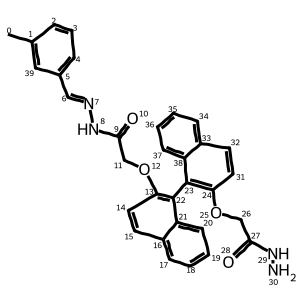 Cc1cccc(C=NNC(=O)COc2ccc3ccccc3c2-c2c(OCC(=O)NN)ccc3ccccc23)c1